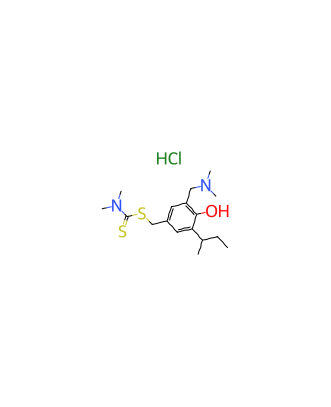 CCC(C)c1cc(CSC(=S)N(C)C)cc(CN(C)C)c1O.Cl